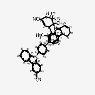 CC1C(C2C=C(C#N)CC(C)(C#N)C2(C)n2c3c(c4c2C=CCC4)CCC=C3)=CC=CC1c1ccc(-n2c3ccccc3c3cc(C#N)ccc32)cc1